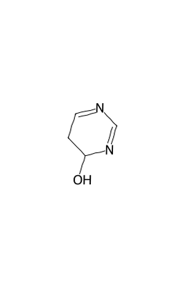 OC1CC=NC=N1